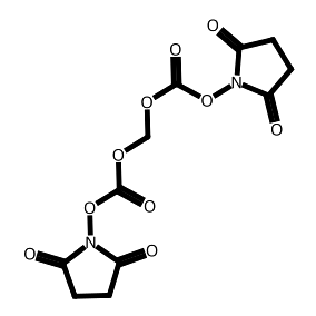 O=C(OCOC(=O)ON1C(=O)CCC1=O)ON1C(=O)CCC1=O